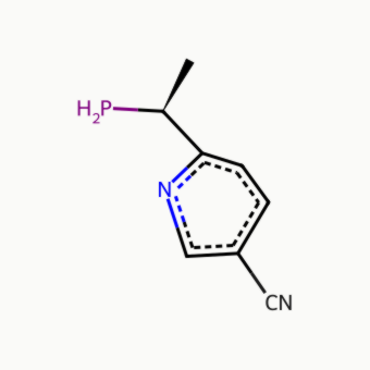 C[C@H](P)c1ccc(C#N)cn1